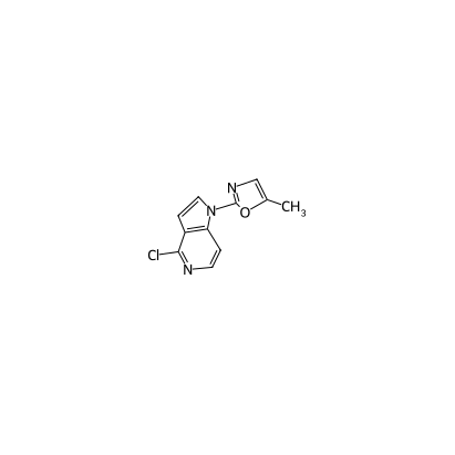 Cc1cnc(-n2ccc3c(Cl)nccc32)o1